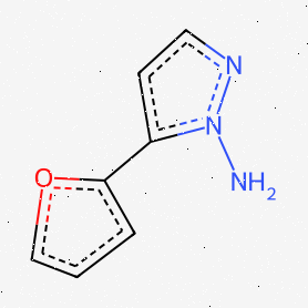 Nn1nccc1-c1ccco1